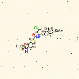 CSc1ccc(C(C)(C)c2cc(Cl)cc(NC(=O)c3cc4cc(NS(C)(=O)=O)ccc4s3)c2)cc1